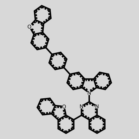 c1ccc2c(-c3cccc4c3oc3ccccc34)nc(-n3c4ccccc4c4cc(-c5ccc(-c6ccc7oc8ccccc8c7c6)cc5)ccc43)nc2c1